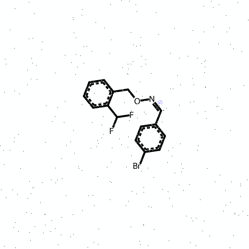 FC(F)c1ccccc1CO/N=[C]\c1ccc(Br)cc1